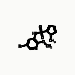 COc1ncc(Br)cc1NS(=O)(=O)c1cccn1C